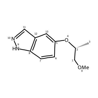 COC[C@@H](C)Oc1ccc2[nH]ncc2c1